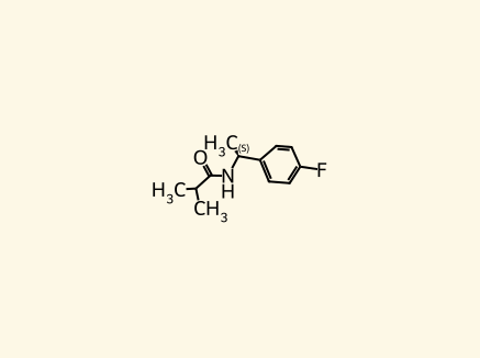 CC(C)C(=O)N[C@@H](C)c1ccc(F)cc1